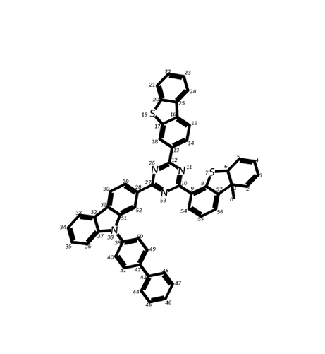 CC12C=CC=CC1Sc1c(-c3nc(-c4ccc5c(c4)sc4ccccc45)nc(-c4ccc5c6ccccc6n(-c6ccc(-c7ccccc7)cc6)c5c4)n3)cccc12